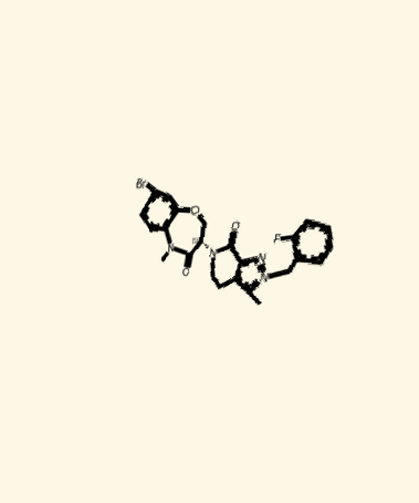 Cc1c2c(nn1Cc1ccccc1F)C(=O)N([C@H]1COc3cc(Br)ccc3N(C)C1=O)CC2